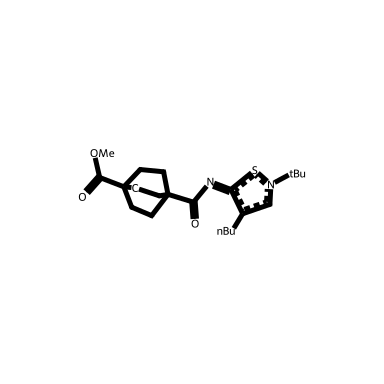 CCCCc1cn(C(C)(C)C)sc1=NC(=O)C12CCC(C(=O)OC)(CC1)CC2